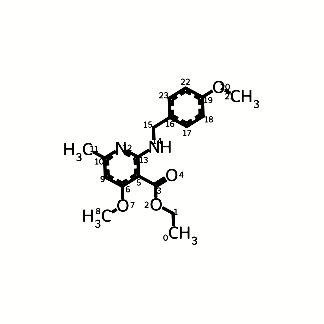 CCOC(=O)c1c(OC)cc(C)nc1NCc1ccc(OC)cc1